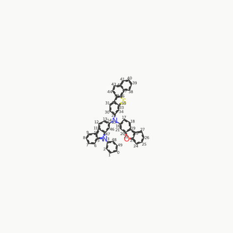 c1ccc(-n2c3ccccc3c3ccc(N(c4ccc5c(c4)oc4ccccc45)c4ccc5c(c4)sc4c6ccccc6ccc54)cc32)cc1